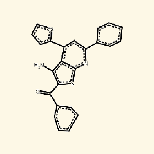 Nc1c(C(=O)c2ccccc2)sc2nc(-c3ccccc3)cc(-c3cccs3)c12